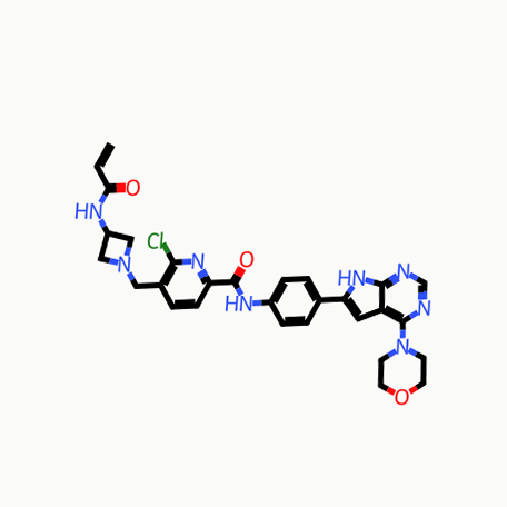 C=CC(=O)NC1CN(Cc2ccc(C(=O)Nc3ccc(-c4cc5c(N6CCOCC6)ncnc5[nH]4)cc3)nc2Cl)C1